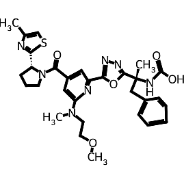 COCCN(C)c1cc(C(=O)N2CCC[C@@H]2c2nc(C)cs2)cc(-c2nnc([C@@](C)(Cc3ccccc3)NC(=O)O)o2)n1